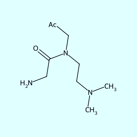 CC(=O)CN(CCN(C)C)C(=O)CN